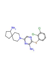 Nc1nc(N2CCC3(CCCC3N)CC2)cnc1Sc1cccc(Cl)c1Cl